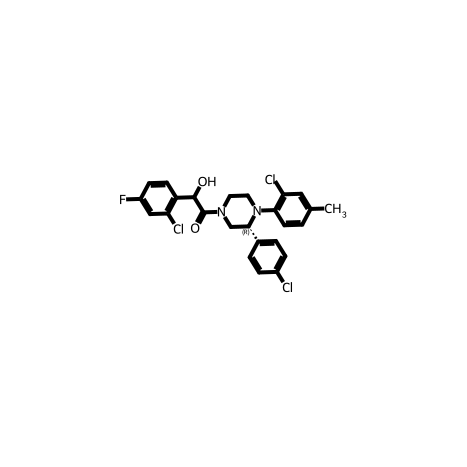 Cc1ccc(N2CCN(C(=O)C(O)c3ccc(F)cc3Cl)C[C@H]2c2ccc(Cl)cc2)c(Cl)c1